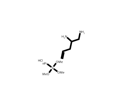 C=CCC(N)CN.CCC[Si](OC)(OC)OC.Cl